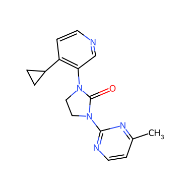 Cc1ccnc(N2CCN(c3cnccc3C3CC3)C2=O)n1